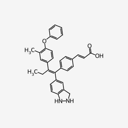 CC/C(=C(/c1ccc(/C=C/C(=O)O)cc1)c1ccc2c(c1)CNN2)c1ccc(Oc2ccccc2)c(C)c1